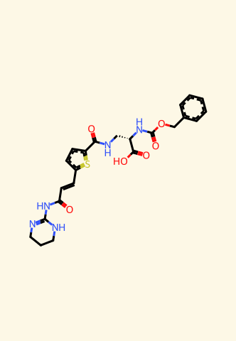 O=C(/C=C/c1ccc(C(=O)NC[C@H](NC(=O)OCc2ccccc2)C(=O)O)s1)NC1=NCCCN1